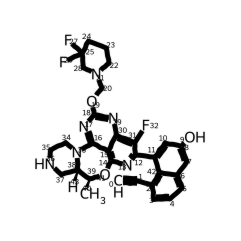 C#Cc1cccc2cc(O)cc(-c3nc4c5c(nc(OCN6CCCC(F)(F)C6)nc5c3F)N3CCNC[C@H]3[C@H](C)O4)c12